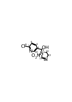 O=[N+]([O-])[N+]1(C(O)c2ccc(Cl)nc2)C=NCC1